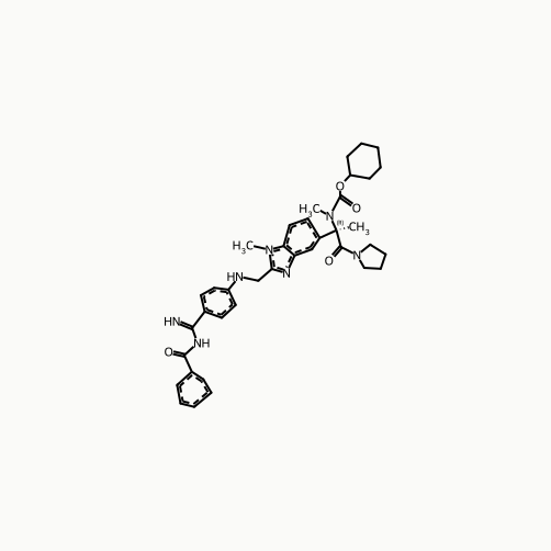 CN(C(=O)OC1CCCCC1)[C@@](C)(C(=O)N1CCCC1)c1ccc2c(c1)nc(CNc1ccc(C(=N)NC(=O)c3ccccc3)cc1)n2C